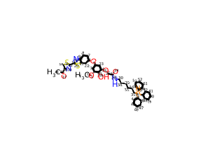 COc1cc(Oc2ccc3nc(C4=N[C@@H](C(C)=O)CS4)sc3c2)cc(OCC(=O)NCCCCCC[PH](c2ccccc2)(c2ccccc2)c2ccccc2)c1O